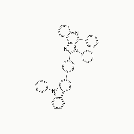 c1ccc(-c2nc3ccccc3c3nc(-c4ccc(-c5ccc6c7ccccc7n(-c7ccccc7)c6c5)cc4)n(-c4ccccc4)c23)cc1